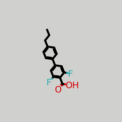 CCCc1ccc(-c2cc(F)c(C(=O)O)c(F)c2)cc1